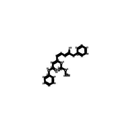 CC(C)(C)OC(=O)OC(/C=C\C=C(/I)Cc1ccccc1)=C\C(=O)Oc1ccccc1